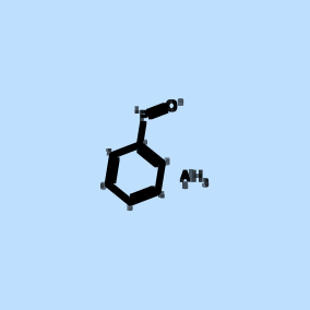 O=Pc1ccccc1.[AlH3]